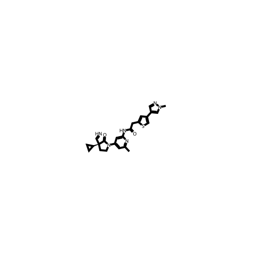 Cc1cc(N2CC[C@@](C=N)(C3CC3)C2=O)cc(NC(=O)Cc2cc(-c3cnn(C)c3)cs2)n1